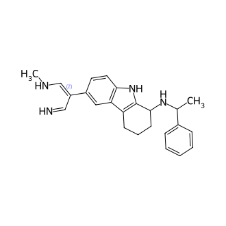 CN/C=C(\C=N)c1ccc2[nH]c3c(c2c1)CCCC3NC(C)c1ccccc1